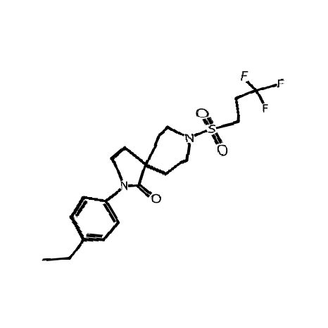 CCc1ccc(N2CCC3(CCN(S(=O)(=O)CCC(F)(F)F)CC3)C2=O)cc1